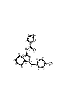 N#Cc1ccc(Cn2cc(NC(=O)c3ccno3)c3ccccc32)cc1